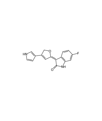 O=C1Nc2cc(F)ccc2/C1=C1/C=C(c2cc[nH]c2)CO1